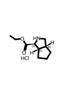 CCOC(=O)[C@H]1NC[C@@H]2CCC[C@@H]21.Cl